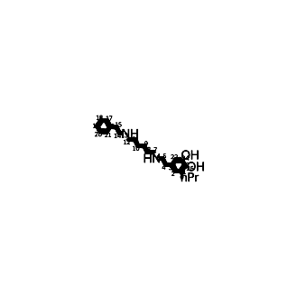 CCCc1cc(CCNCCCCCCNCCc2ccccc2)cc(O)c1O